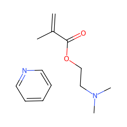 C=C(C)C(=O)OCCN(C)C.c1ccncc1